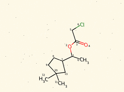 CC(OC(=O)CCl)C1CCC(C)(C)C1